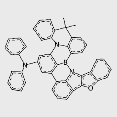 CC1(C)c2ccccc2N2c3cc(N(c4ccccc4)c4ccccc4)cc4c3B(c3cccc1c32)n1c2c-4cccc2c2oc3ccccc3c21